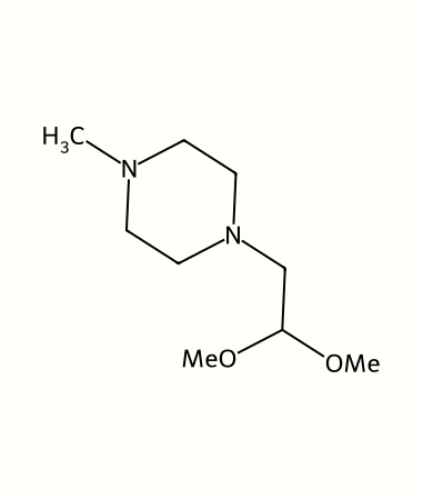 COC(CN1CCN(C)CC1)OC